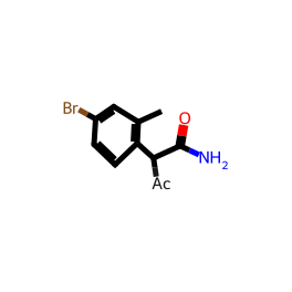 CC(=O)C(C(N)=O)c1ccc(Br)cc1C